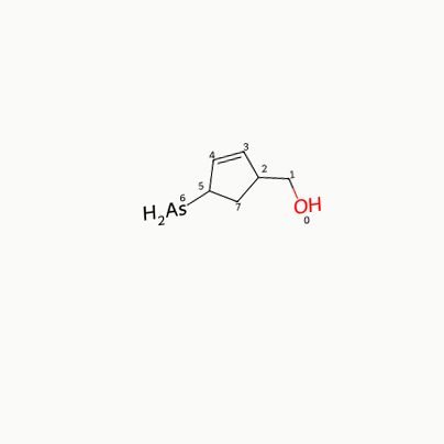 OCC1C=CC([AsH2])C1